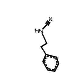 N#CNCCc1ccccc1